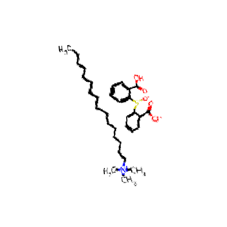 CCCCCCCCCCCCCCCC[N+](C)(C)C.O=C([O-])c1ccccc1[S+]([O-])c1ccccc1C(=O)O